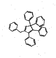 [C]1=C(Cc2ccccc2)C(c2ccccc2)=C(c2ccccc2)C1(c1ccccc1)c1ccccc1